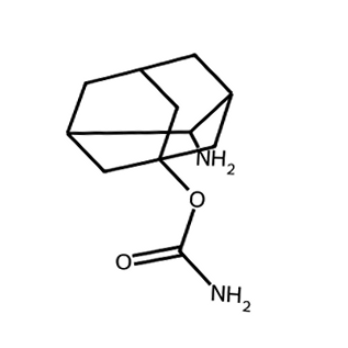 NC(=O)OC12CC3CC(C1)C(N)C(C3)C2